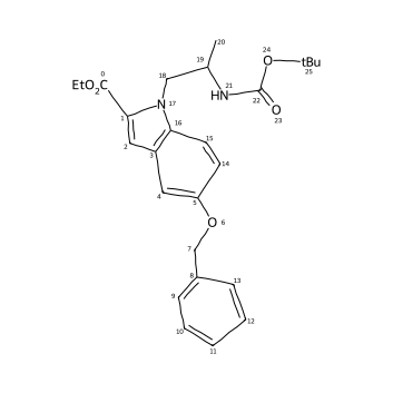 CCOC(=O)c1cc2cc(OCc3ccccc3)ccc2n1CC(C)NC(=O)OC(C)(C)C